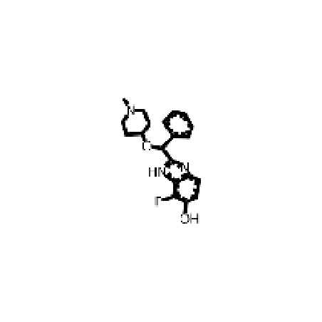 CN1CCC(OC(c2ccccc2)c2nc3ccc(O)c(F)c3[nH]2)CC1